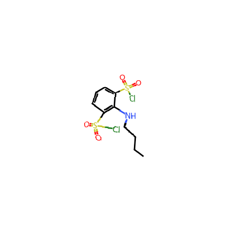 CCCCNc1c(S(=O)(=O)Cl)cccc1S(=O)(=O)Cl